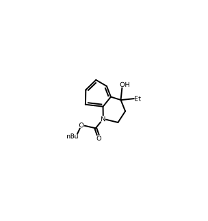 CCCCOC(=O)N1CCC(O)(CC)c2ccccc21